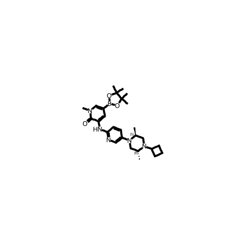 C[C@@H]1CN(c2ccc(Nc3cc(B4OC(C)(C)C(C)(C)O4)cn(C)c3=O)nc2)[C@@H](C)CN1C1CCC1